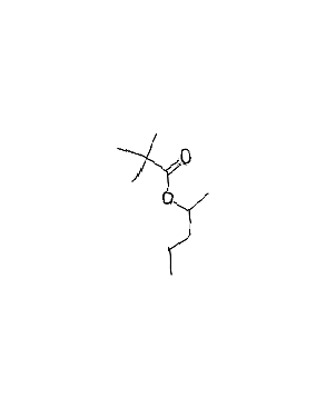 CCCC(C)OC(=O)C(C)(C)C